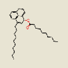 CCCCCCCCCCC1=CC(OC(=O)CCCCCCCCC)c2cccc3cccc1c23